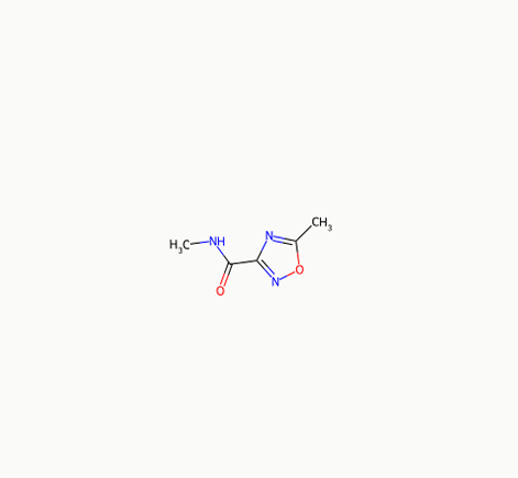 CNC(=O)c1noc(C)n1